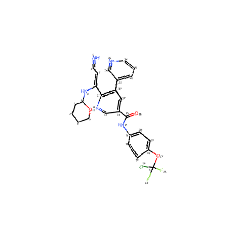 N=C/C=C(\NC1CCCCO1)c1ncc(C(=O)Nc2ccc(OC(F)(F)Cl)cc2)cc1-c1cccnc1